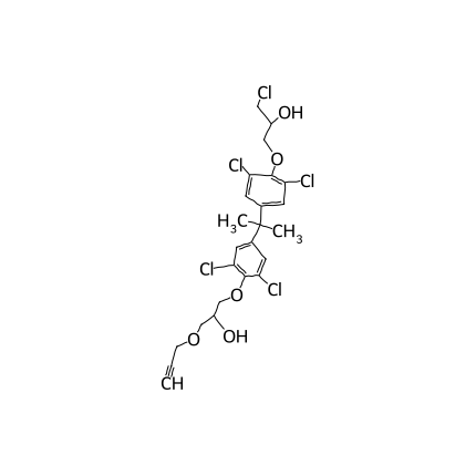 C#CCOCC(O)COc1c(Cl)cc(C(C)(C)c2cc(Cl)c(OCC(O)CCl)c(Cl)c2)cc1Cl